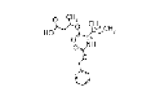 CC[C@H](C)[C@H](NC(=O)OCc1ccccc1)C(=O)OC(C)CC(=O)O